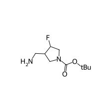 CC(C)(C)OC(=O)N1CC(F)C(CN)C1